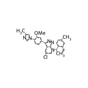 COc1cc(-c2nnc3n([C@H](C)c4ccc(C)cc4F)cc(Cl)cc2-3)ccc1-n1cnc(C)c1